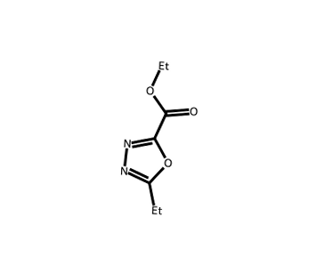 CCOC(=O)c1nnc(CC)o1